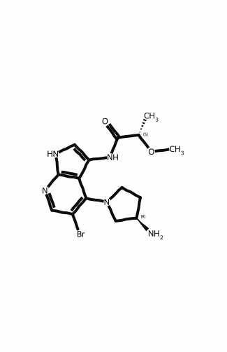 CO[C@@H](C)C(=O)Nc1c[nH]c2ncc(Br)c(N3CC[C@@H](N)C3)c12